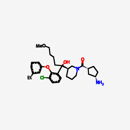 CCc1cccc(Oc2c(Cl)cccc2C(O)(CCCCOC)[C@@H]2CCCN(C(=O)[C@@H]3CC[C@H](N)C3)C2)c1